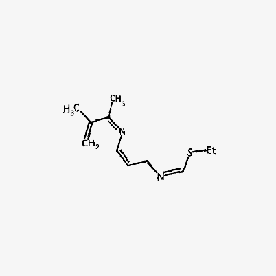 C=C(C)/C(C)=N\C=C/C/N=C\SCC